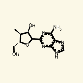 C[C@@H]1[C@@H](CO)OC(c2nc(N)c3nc[nH]c3n2)[C@@H]1O